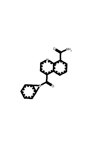 NC(=O)c1cccc2c(C(=O)N3c4ccccc43)ccnc12